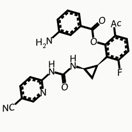 CC(=O)c1ccc(F)c([C@H]2C[C@H]2NC(=O)Nc2ccc(C#N)cn2)c1OC(=O)c1cccc(N)c1